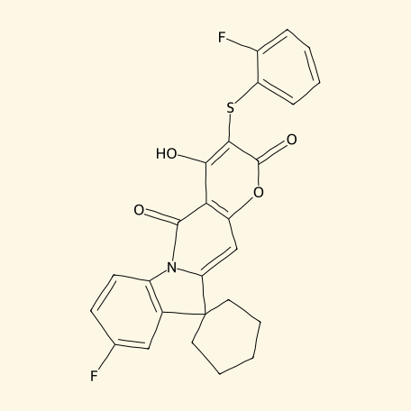 O=c1oc2cc3n(c(=O)c2c(O)c1Sc1ccccc1F)-c1ccc(F)cc1C31CCCCC1